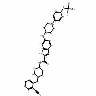 N#Cc1ccccc1CN1CCC(NC(=O)c2cc3ccc(OC4CCN(c5ccc(OC(F)(F)F)cc5)CC4)cc3o2)CC1